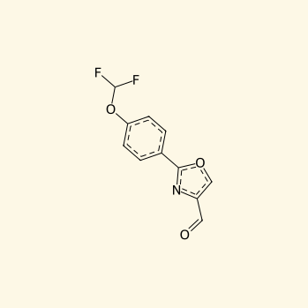 O=Cc1coc(-c2ccc(OC(F)F)cc2)n1